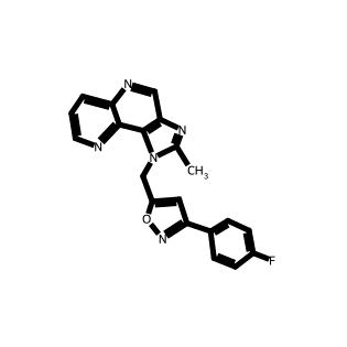 Cc1nc2cnc3cccnc3c2n1Cc1cc(-c2ccc(F)cc2)no1